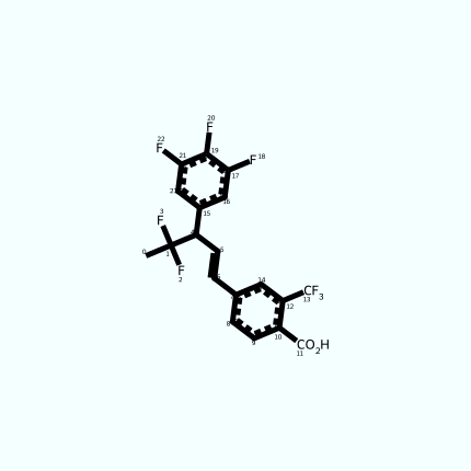 CC(F)(F)C(C=Cc1ccc(C(=O)O)c(C(F)(F)F)c1)c1cc(F)c(F)c(F)c1